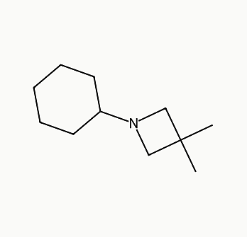 CC1(C)CN(C2CCCCC2)C1